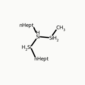 CCCCCCC[SiH2][SiH](CCCCCCC)[SiH2]C